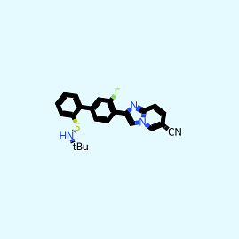 CC(C)(C)NSc1ccccc1-c1ccc(-c2cn3cc(C#N)ccc3n2)c(F)c1